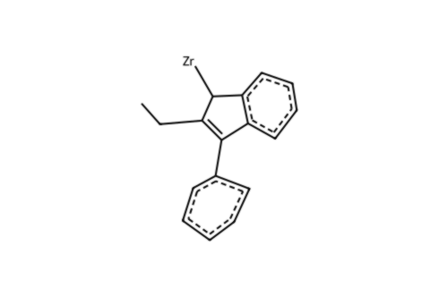 CCC1=C(c2ccccc2)c2ccccc2[CH]1[Zr]